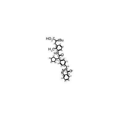 Cc1c(CC(C(=O)O)C(C)(C)C)cccc1NC(=O)C(c1ccc(Cn2nnc3ccccc3c2=O)cc1)C1CCCC1